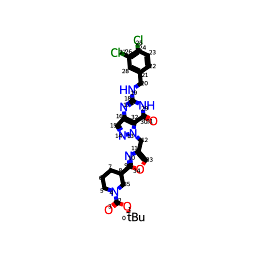 CC(C)(C)OC(=O)N1CCCC(c2nc(Cn3ncc4nc(NCc5ccc(Cl)c(Cl)c5)[nH]c(=O)c43)co2)C1